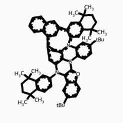 CC(C)(C)c1ccc2c(c1)-n1c3cc(cc4c3B2c2oc3ccc(C(C)(C)C)cc3c2N4c2ccc3c(c2)C(C)(C)CCC3(C)C)c2cc(cc3ccccc32)c2cc3c(cc21)C(C)(C)CCC3(C)C